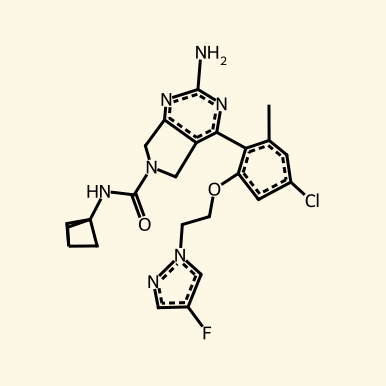 Cc1cc(Cl)cc(OCCn2cc(F)cn2)c1-c1nc(N)nc2c1CN(C(=O)NC13CC(C1)C3)C2